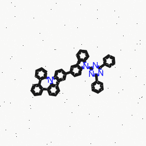 c1ccc(-c2nc(-c3ccccc3)nc(-n3c4ccccc4c4cc(-c5ccc6c(c5)c5cccc7c5n6-c5ccccc5-c5ccccc5-7)ccc43)n2)cc1